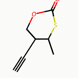 C#CC1COC(=O)SC1C